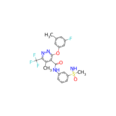 Cc1cc(F)cc(Oc2nnc(C(F)(F)F)c(C)c2C(=O)Nc2cccc(S(C)(=N)=O)c2)c1